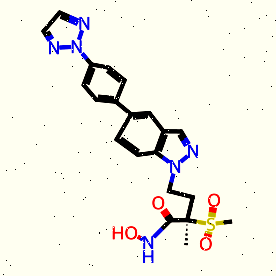 C[C@@](CCn1ncc2cc(-c3ccc(-n4nccn4)cc3)ccc21)(C(=O)NO)S(C)(=O)=O